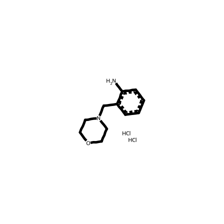 Cl.Cl.Nc1ccccc1CN1CCOCC1